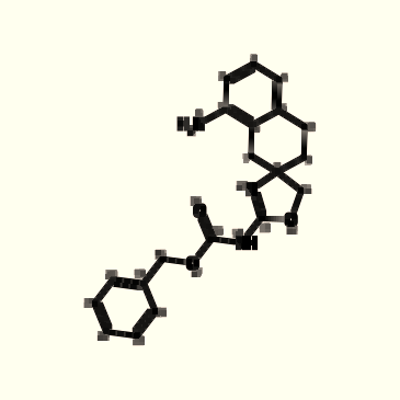 Nc1cccc2c1CC1(CC2)COC(NC(=O)OCc2ccccc2)=N1